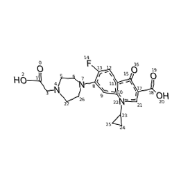 O=C(O)CN1CCN(c2cc3c(cc2F)c(=O)c(C(=O)O)cn3C2CC2)CC1